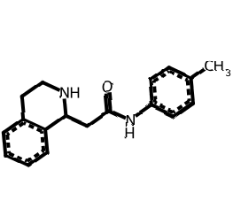 Cc1ccc(NC(=O)CC2NCCc3ccccc32)cc1